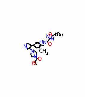 Cc1cc(-c2ccncc2N2CCN(C(=O)C3CO3)CC2)ccc1CNC(=O)c1noc(C(C)(C)C)n1